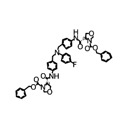 O=C(Nc1ccc(CN(Cc2ccc(NC(=O)[C@@H]3COCN3C(=O)OCc3ccccc3)cc2)c2ccc(F)cc2)cc1)[C@@H]1COCN1C(=O)OCc1ccccc1